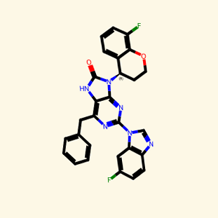 O=c1[nH]c2c(Cc3ccccc3)nc(-n3cnc4ccc(F)cc43)nc2n1[C@@H]1CCOc2c(F)cccc21